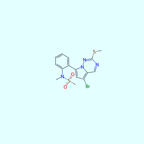 CSc1ncc2c(Br)cc(-c3ccccc3N(C)S(C)(=O)=O)n2n1